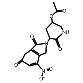 CC(=O)OC1CNC(=O)C(N2CC3=C(CC(=O)C=C3[N+](=O)[O-])C2=O)C1